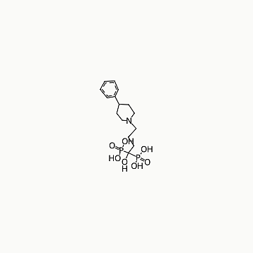 O=P(O)(O)C(O)(CCCN1CCC(c2ccccc2)CC1)P(=O)(O)O